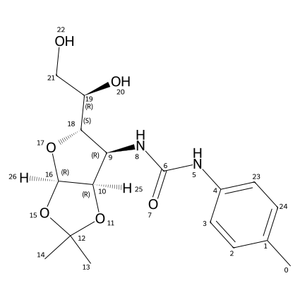 Cc1ccc(NC(=O)N[C@H]2[C@H]3OC(C)(C)O[C@H]3O[C@@H]2[C@H](O)CO)cc1